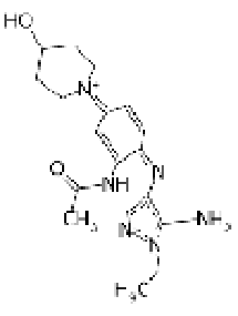 CCn1ncc(/N=C2/C=CC(=[N+]3CCC(O)CC3)C=C2NC(C)=O)c1N